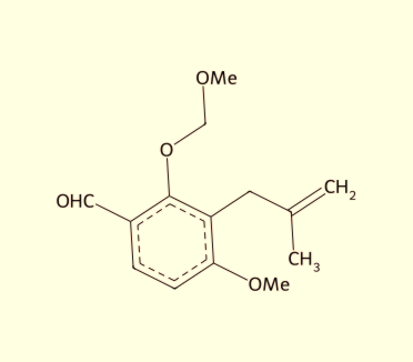 C=C(C)Cc1c(OC)ccc(C=O)c1OCOC